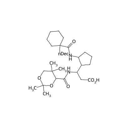 CCCCCCCCCCC1(C(=O)NC2CCCC2C(CC(=O)O)NC(=O)C2OC(C)(C)OCC2(C)C)CCCCC1